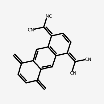 [C-]#[N+]C([N+]#[C-])=c1ccc(=C(C#N)C#N)c2cc3c(=C)ccc(=C)c3cc12